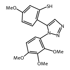 COc1ccc(-c2cnnn2-c2ccc(OC)c(OC)c2OC)c(S)c1